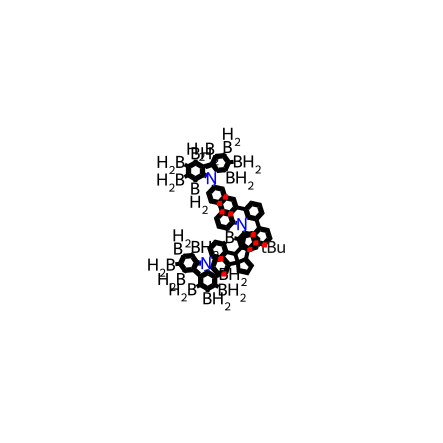 Bc1c(B)c(B)c2c(c1B)c1c(B)c(B)c(B)c(B)c1n2-c1ccc(-c2ccc3c(c2)N(c2c(-c4ccccc4)cccc2-c2ccccc2)c2cc(C(C)(C)C)cc4c2B3c2ccc(-n3c5c(B)c(B)c(B)c(B)c5c5c(B)c(B)c(B)c(B)c53)cc2C4C2(c3ccccc3)C=CC=C2c2ccccc2)cc1